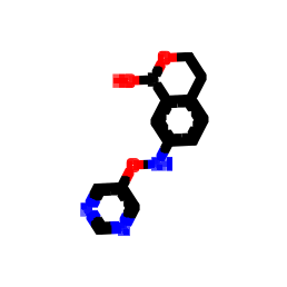 OB1OCCc2ccc(NOc3cncnc3)cc21